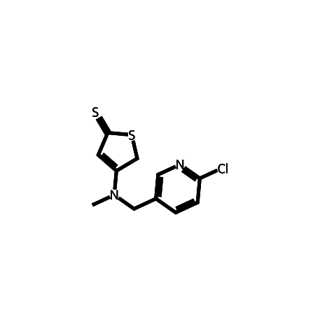 CN(Cc1ccc(Cl)nc1)C1=CC(=S)SC1